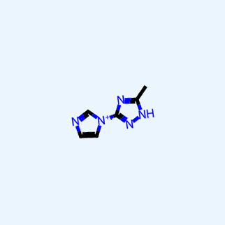 Cc1nc([N+]2C=CN=C2)n[nH]1